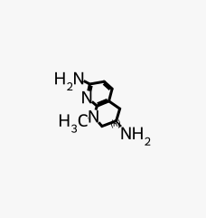 CN1C[C@H](N)Cc2ccc(N)nc21